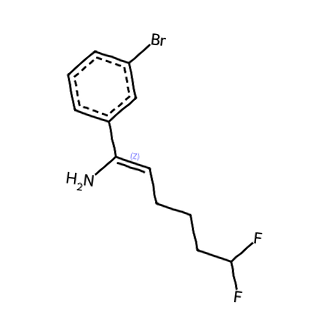 N/C(=C\CCCC(F)F)c1cccc(Br)c1